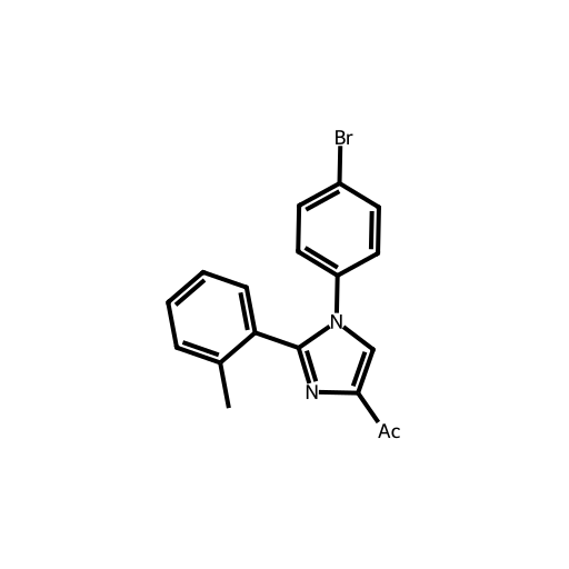 CC(=O)c1cn(-c2ccc(Br)cc2)c(-c2ccccc2C)n1